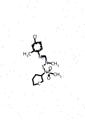 Cc1cc(Cl)ccc1/N=C/N(C)SN(C1CCCCC1)S(C)(=O)=O